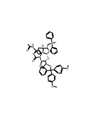 COc1ccc(C(O[C@H]2CO[C@@H](n3ccc(NC(C)=O)nc3=O)[C@@H]2O[P@@]2O[C@H](C[Si](C)(c3ccccc3)c3ccccc3)[C@@H]3CCCN32)(c2ccccc2)c2ccc(OC)cc2)cc1